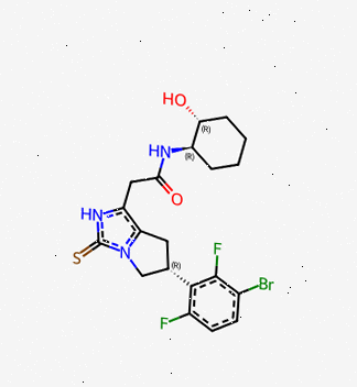 O=C(Cc1[nH]c(=S)n2c1C[C@H](c1c(F)ccc(Br)c1F)C2)N[C@@H]1CCCC[C@H]1O